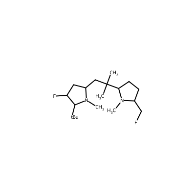 CN1C(CC(C)(C)C2CCC(CF)N2C)CC(F)C1C(C)(C)C